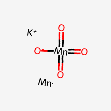 [K+].[Mn].[O]=[Mn](=[O])(=[O])[O-]